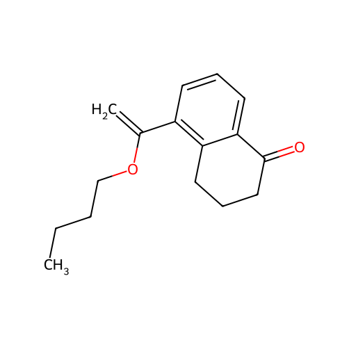 C=C(OCCCC)c1cccc2c1CCCC2=O